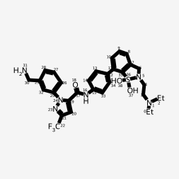 CCN(CC)CCN1Cc2cccc(-c3ccc(NC(=O)c4cc(C(F)(F)F)nn4-c4cccc(CN)c4)cc3)c2S1(O)O